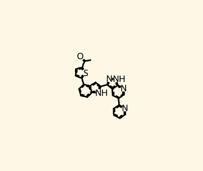 CC(=O)c1ccc(-c2cccc3[nH]c(-c4n[nH]c5ncc(-c6ccccn6)cc45)cc23)s1